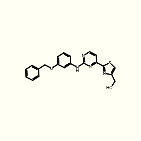 OCc1csc(-c2ccnc(Nc3cccc(OCc4ccccc4)c3)n2)n1